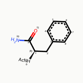 CC(=O)N[C@H](Cc1ccccc1)C(N)=O